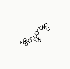 CCS(=O)(=O)c1ccc([C@H](CC#N)NC(=O)c2ccc(CN3CCN(C(=O)C4CCCC4)CC3)cc2)cc1